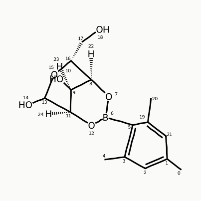 Cc1cc(C)c(B2O[C@H]3[C@H](O)[C@@H](O2)C(O)O[C@@H]3CO)c(C)c1